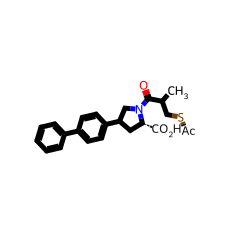 CC(=O)SCC(C)C(=O)N1CC(c2ccc(-c3ccccc3)cc2)C[C@H]1C(=O)O